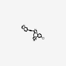 Clc1ccc2c(c1)-n1nncc1Cc1c(C#Cc3ccn4ccnc4c3)ncn1-2